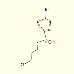 O[C@H](CCCCCl)c1ccc(Br)cc1